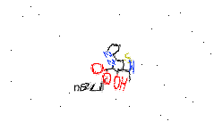 CCCCOC(=O)c1nc(-c2ccccn2)c2snc(C)c2c1O